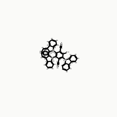 N#Cc1c(F)c(-n2c3ccccc3c3ccccc32)c(C#N)c(-n2c3ccccc3c3ccccc32)c1-n1c2ccccc2c2ccccc21